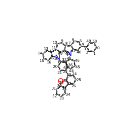 c1ccc(-c2ccc3c4ccc5c6ccccc6n(-c6ccc(-c7cccc8c7oc7ccccc78)cc6)c5c4n(-c4ccccc4)c3c2)cc1